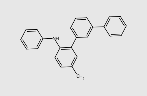 Cc1ccc(Nc2ccccc2)c(-c2cccc(-c3ccccc3)c2)c1